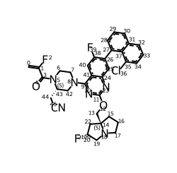 C=C(F)C(=O)N1CCN(c2nc(OC[C@@]34CCCN3C[C@H](F)C4)nc3cc(-c4cccc5cccc(Cl)c45)c(F)cc23)C[C@@H]1CC#N